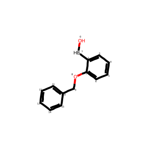 OBc1ccccc1OCc1ccccc1